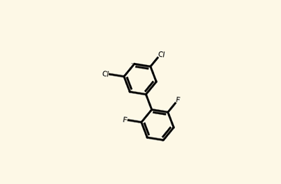 Fc1cccc(F)c1-c1cc(Cl)[c]c(Cl)c1